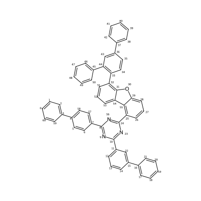 c1ccc(-c2ccc(-c3nc(-c4cccc(-c5ccccc5)c4)nc(-c4cccc5oc6c(-c7ccc(-c8ccccc8)cc7-c7ccccc7)cccc6c45)n3)cc2)cc1